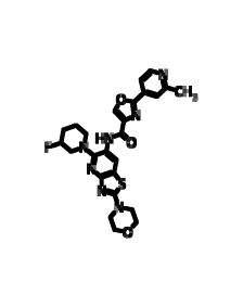 Cc1cc(-c2nc(C(=O)Nc3cc4sc(N5CCOCC5)nc4nc3N3CCCC(F)C3)co2)ccn1